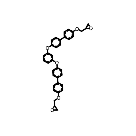 c1cc(Oc2ccc(-c3ccc(OCC4CO4)cc3)cc2)cc(Oc2ccc(-c3ccc(OCC4CO4)cc3)cc2)c1